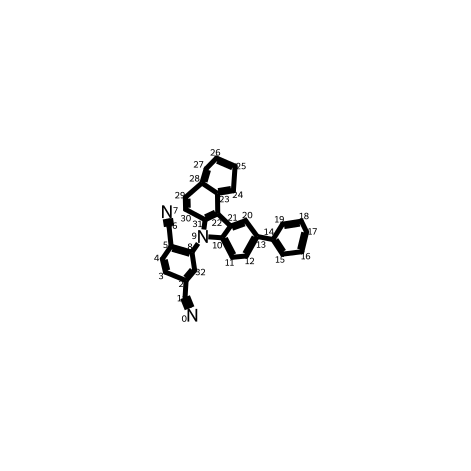 N#Cc1ccc(C#N)c(-n2c3ccc(-c4ccccc4)cc3c3c4ccccc4ccc32)c1